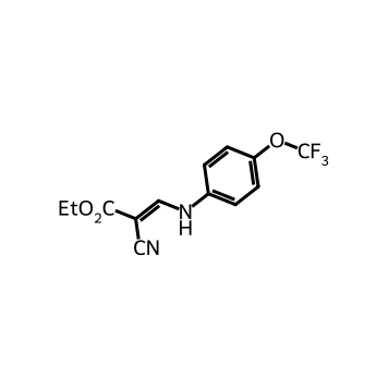 CCOC(=O)C(C#N)=CNc1ccc(OC(F)(F)F)cc1